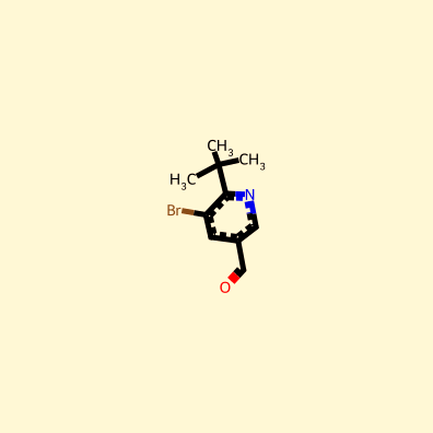 CC(C)(C)c1ncc(C=O)cc1Br